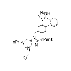 CCCCCc1nc2c(n1Cc1ccc(-c3ccccc3-c3nnn[nH]3)cc1)CN(CCC)CN2CC1CC1